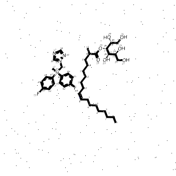 CCCCCCCC/C=C\CCCCCCC(C)C(=O)O[C@@H]([C@H](O)[C@@H](O)CO)[C@H](O)CO.C[Si](Cn1cncn1)(c1ccc(F)cc1)c1ccc(F)cc1